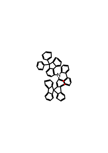 c1ccc(-c2ccccc2N(c2ccc3c(c2)C2(c4ccccc4-c4ccccc42)c2ccccc2-3)c2cccc3c2-c2ccccc2C3(c2ccccc2)c2ccccc2)cc1